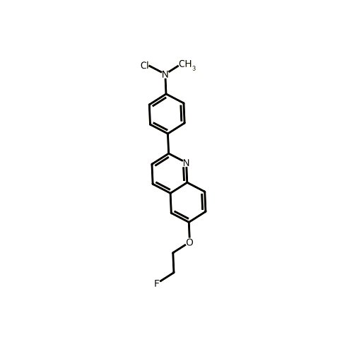 CN(Cl)c1ccc(-c2ccc3cc(OCCF)ccc3n2)cc1